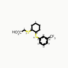 O=C(O)CSC1CCCCC1Sc1cccc(C(F)(F)F)c1